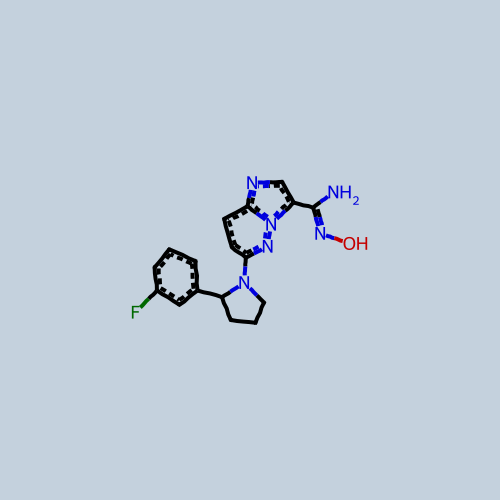 NC(=NO)c1cnc2ccc(N3CCCC3c3cccc(F)c3)nn12